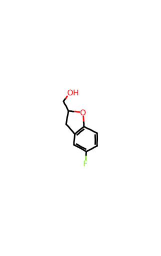 OCC1Cc2cc(F)ccc2O1